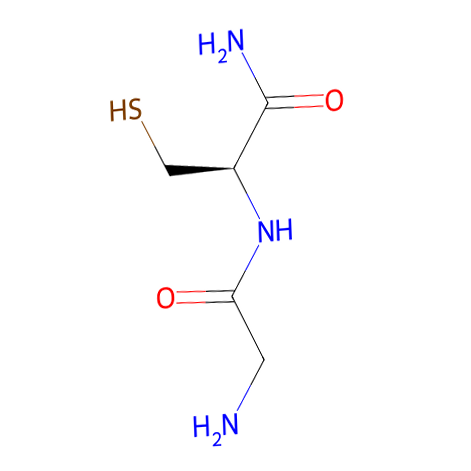 NCC(=O)N[C@@H](CS)C(N)=O